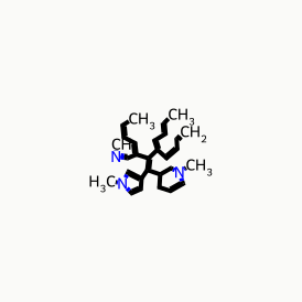 C=C\C=C/C(=C\C=C\C)C(/C(/C=N\C)=C/C=C\C)=C(/c1ccn(C)c1)C1CC=CN(C)C1